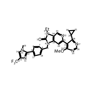 CCn1c(=O)n(Cc2ccc(-c3nc(C(F)(F)F)cn3C)cc2)c2cc(-c3c(OC)ncnc3C3CC3)ncc21